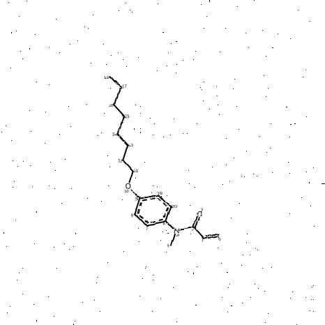 C=CC(=O)N(C)c1ccc(OCCCCCCCC)cc1